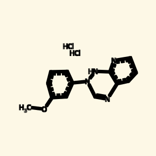 COc1cccc(N2C=Nc3cccnc3N2)c1.Cl.Cl